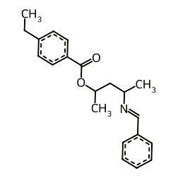 CCc1ccc(C(=O)OC(C)CC(C)N=Cc2ccccc2)cc1